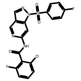 O=C(Nc1cc2c(cn1)cnn2S(=O)(=O)c1ccc(F)cc1)c1c(F)cccc1Cl